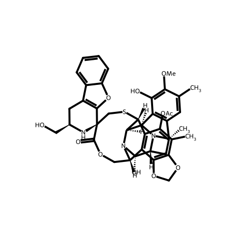 COc1c(C)cc2c(c1O)[C@@H]1[C@@H]3[C@@H]4SC[C@]5(N[C@@H](CO)Cc6c5oc5ccccc65)C(=O)OC[C@@H](c5c6c(c(C)c(OC(C)=O)c54)OCO6)N3[C@@H](O)[C@H]3C[C@@]2(C)N31